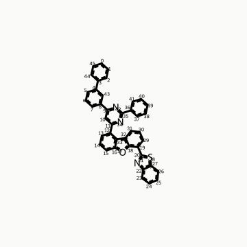 c1ccc(-c2cccc(-c3cc(-c4cccc5oc6c(-c7nc8ccccc8s7)cccc6c45)nc(-c4ccccc4)n3)c2)cc1